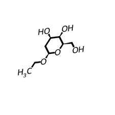 CCO[C@H]1C[C@@H](O)[C@@H](O)[C@@H](CO)O1